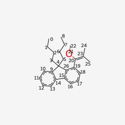 CCCCC1(CCCC)c2ccccc2-c2cccc(C(OC)=C(C)C)c21